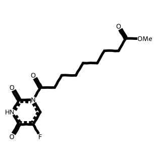 COC(=O)CCCCCCCC(=O)n1cc(F)c(=O)[nH]c1=O